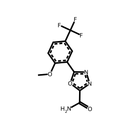 COc1ccc(C(F)(F)F)cc1-c1nnc(C(N)=O)o1